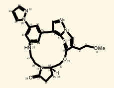 COCCc1cn2ncc3c2nc1OC[C@@H]1CCC(=O)N1CCNc1cc-3cc(-n2cccn2)c1